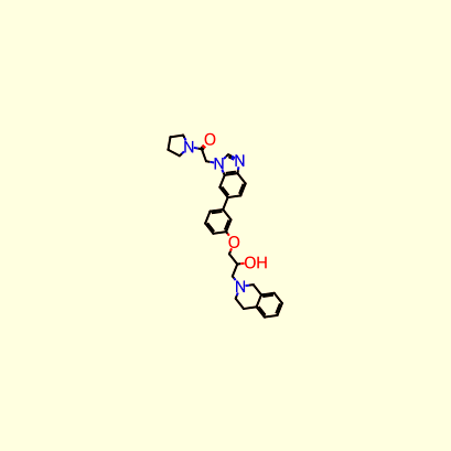 O=C(Cn1cnc2ccc(-c3cccc(OCC(O)CN4CCc5ccccc5C4)c3)cc21)N1CCCC1